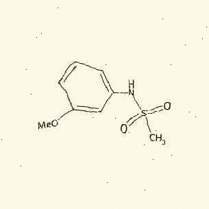 COc1c[c]cc(NS(C)(=O)=O)c1